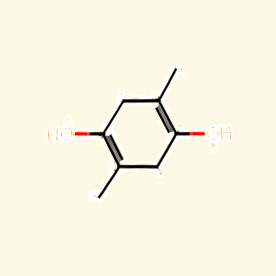 CC1=C(O)CC(C)=C(O)C1